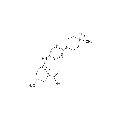 CC1CC2=C(Nc3cnc(N4CCC(C)(C)CC4)nc3)CC(C(N)=O)(C2)C1